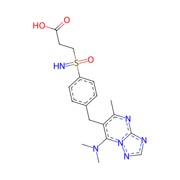 Cc1nc2ncnn2c(N(C)C)c1Cc1ccc(S(=N)(=O)CCC(=O)O)cc1